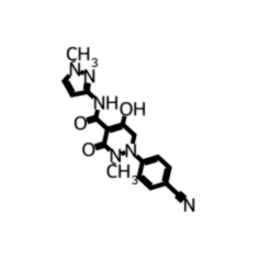 CN1C(=O)C(C(=O)Nc2ccn(C)n2)=C(O)CN1c1ccc(C#N)cc1